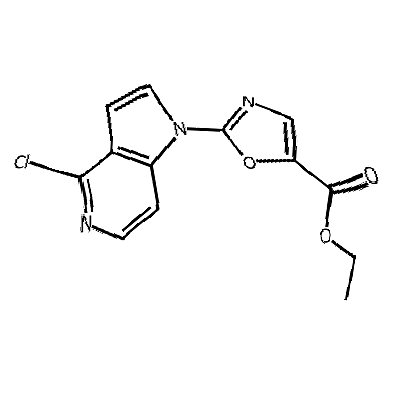 CCOC(=O)c1cnc(-n2ccc3c(Cl)nccc32)o1